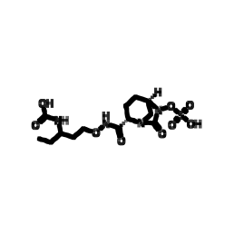 CCC(CCONC(=O)[C@@H]1CC[C@@H]2CN1C(=O)N2OS(=O)(=O)O)NC(=O)O